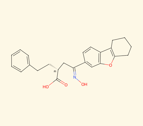 O=C(O)[C@H](CCc1ccccc1)CC(=NO)c1ccc2c3c(oc2c1)CCCC3